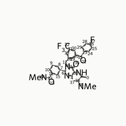 C=C(Nc1cnc(-c2cccc(C(=O)NC)c2)n(Cc2cc(C(=O)c3ccc(F)cc3)cc(C(F)(F)F)c2)c1=O)[C@H](C)NC